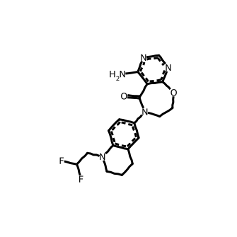 Nc1ncnc2c1C(=O)N(c1ccc3c(c1)CCCN3CC(F)F)CCO2